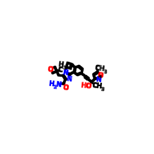 Cc1cc([C@](C)(O)C#Cc2ccc3c(c2)-c2nc(C(N)=O)c(CC4(C)COC4)n2C2C=C3C2)no1